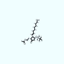 CC(=O)OCC[C@H]1C(=O)C[C@@H](O[Si](C)(C)C(C)(C)C)[C@@H]1C=CCCCCCCO